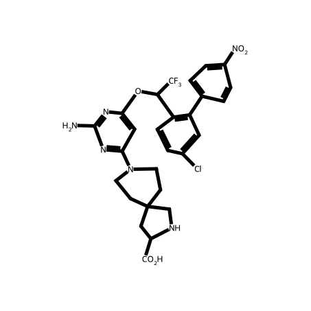 Nc1nc(OC(c2ccc(Cl)cc2-c2ccc([N+](=O)[O-])cc2)C(F)(F)F)cc(N2CCC3(CC2)CNC(C(=O)O)C3)n1